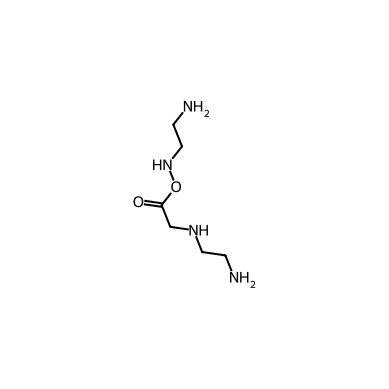 NCCNCC(=O)ONCCN